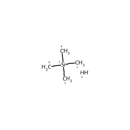 C[Si](C)(C)C.[HH]